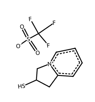 O=S(=O)([O-])C(F)(F)F.SC1Cc2cccc[n+]2C1